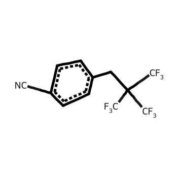 N#Cc1ccc(CC(C(F)(F)F)(C(F)(F)F)C(F)(F)F)cc1